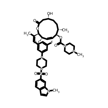 C/C(=C/c1cc(F)cc(N2CCN(S(=O)(=O)c3ccc4ccn(C)c4c3)CC2)c1)[C@H]1OC(=O)C[C@H](O)CC[C@H](C)[C@@H](OC(=O)N2CCN(C)CC2)/C=C\[C@@H]1C